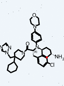 N[C@H]1CC[C@H](N(c2ccc(N3CCOCC3)cc2)[C@H](Cc2ccc(Cl)cc2)C(=O)N2CCC(Cn3cncn3)(C3CCCCC3)CC2)CC1